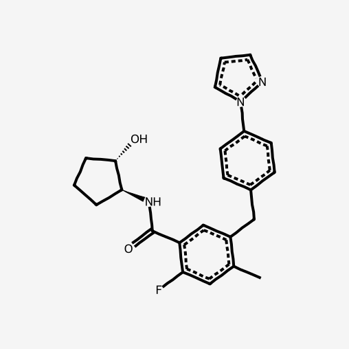 Cc1cc(F)c(C(=O)N[C@H]2CCC[C@@H]2O)cc1Cc1ccc(-n2cccn2)cc1